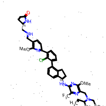 C=CC(C)N(CC(=O)O)Cc1nc(C(F)(F)F)c(N[C@H]2CCc3c(-c4cccc(-c5ccc(CNC[C@@H]6CCC(=O)N6)c(OC)n5)c4Cl)cccc32)nc1OC